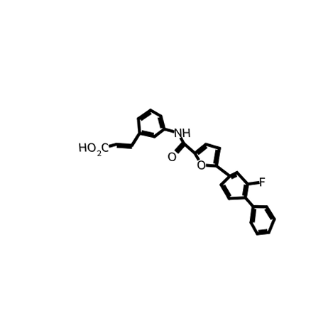 O=C(O)C=Cc1cccc(NC(=O)c2ccc(-c3ccc(-c4ccccc4)c(F)c3)o2)c1